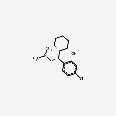 CN(C)C[C@@H](c1ccc(Cl)cc1)[C@@H]1CCCC[C@@H]1O